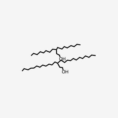 CCCCCCCCC(CCO)CCCCCCCC.CCCCCCCCCCCCC(CCO)CCCCCCCCCCCC